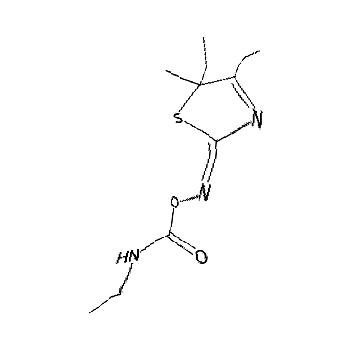 CCNC(=O)ON=C1N=C(C)C(C)(C)S1